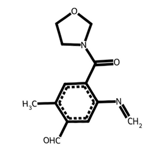 C=Nc1cc(C=O)c(C)cc1C(=O)N1CCOC1